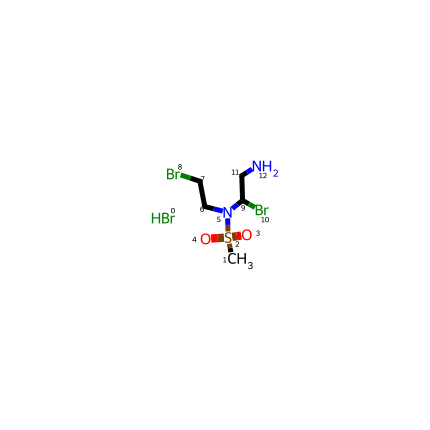 Br.CS(=O)(=O)N(CCBr)C(Br)CN